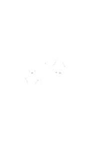 c1ccc2c(c1)CCc1ccccc1SC2